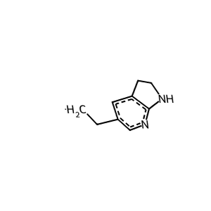 [CH2]Cc1cnc2c(c1)CCN2